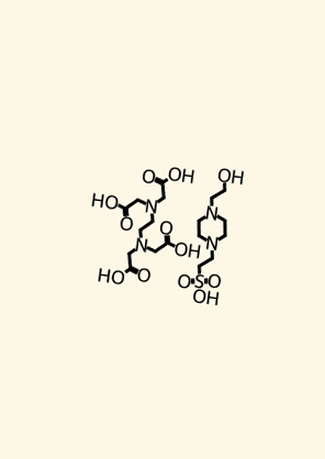 O=C(O)CN(CCN(CC(=O)O)CC(=O)O)CC(=O)O.O=S(=O)(O)CCN1CCN(CCO)CC1